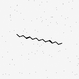 CCC/C=C/CCCCC/C=C/CCC